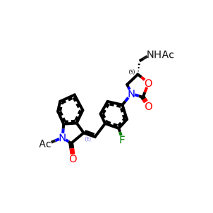 CC(=O)NC[C@H]1CN(c2ccc(/C=C3/C(=O)N(C(C)=O)c4ccccc43)c(F)c2)C(=O)O1